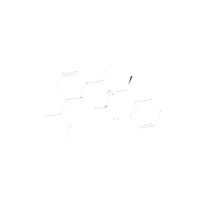 CCC(C)c1cccc(C(C)C)c1OC(=O)N[C@@H](C)c1ccccc1